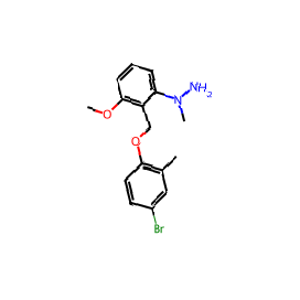 COc1cccc(N(C)N)c1COc1ccc(Br)cc1C